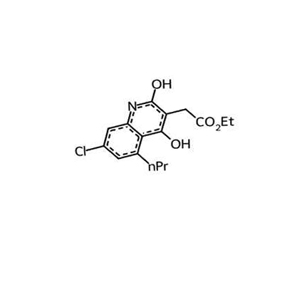 CCCc1cc(Cl)cc2nc(O)c(CC(=O)OCC)c(O)c12